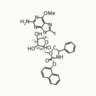 COc1nc(N)nc2c1nc(I)n2[C@@H]1O[C@H](COP(=O)(NC(C(=O)O)c2ccccc2)Oc2cccc3ccccc23)[C@@H](O)[C@@]1(C)O